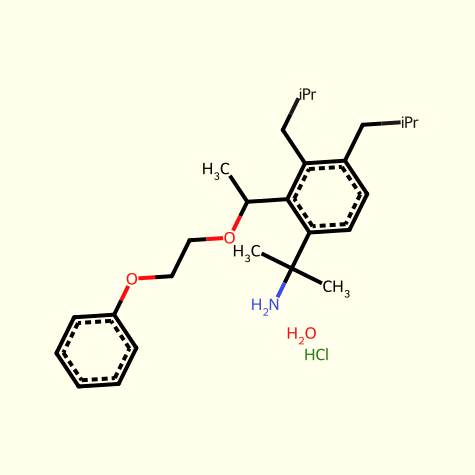 CC(C)Cc1ccc(C(C)(C)N)c(C(C)OCCOc2ccccc2)c1CC(C)C.Cl.O